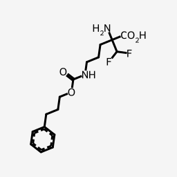 NC(CCCNC(=O)OCCCc1ccccc1)(C(=O)O)C(F)F